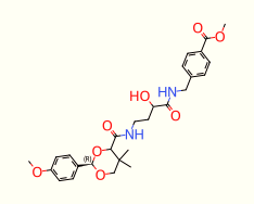 COC(=O)c1ccc(CNC(=O)C(O)CCNC(=O)C2O[C@H](c3ccc(OC)cc3)OCC2(C)C)cc1